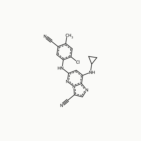 Cc1cc(Cl)c(Nc2cc(NC3CC3)c3ncc(C#N)n3n2)cc1C#N